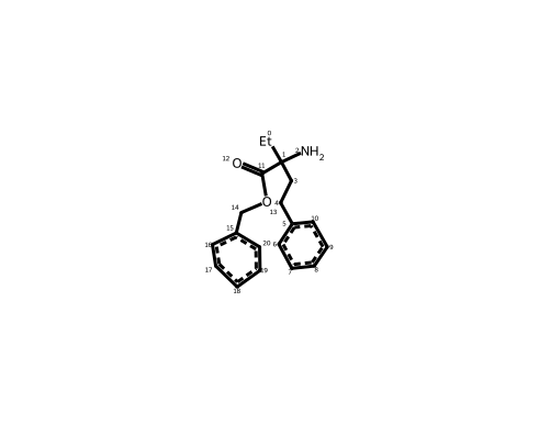 CCC(N)(CCc1ccccc1)C(=O)OCc1ccccc1